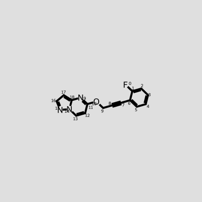 Fc1ccccc1C#CCOc1ccn2nccc2n1